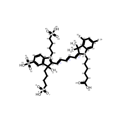 CC1(CCCCS(=O)(=O)O)C(/C=C/C=C/C=C2/N(CCCCCC(=O)O)c3cc(F)cc(F)c3C2(C)C)=[N+](CCCCS(=O)(=O)O)c2ccc(S(=O)(=O)O)cc21